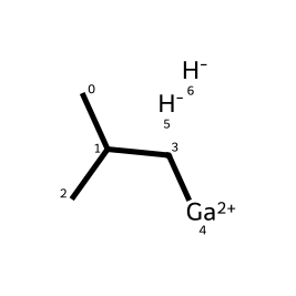 CC(C)[CH2][Ga+2].[H-].[H-]